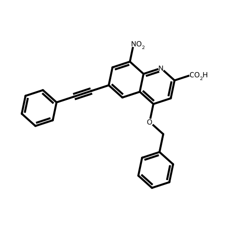 O=C(O)c1cc(OCc2ccccc2)c2cc(C#Cc3ccccc3)cc([N+](=O)[O-])c2n1